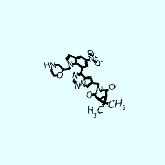 CC1(C)C2C(=O)N(Cc3cc4c(-c5cc([N+](=O)[O-])cc6ccn(CC7CNCCO7)c56)ncnn4c3)C(=O)C21